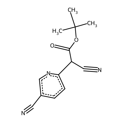 CC(C)(C)OC(=O)C(C#N)c1ccc(C#N)cn1